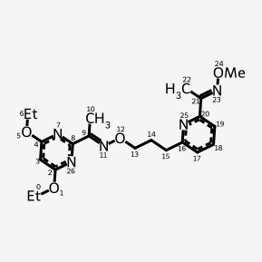 CCOc1cc(OCC)nc(/C(C)=N/OCCCc2cccc(/C(C)=N/OC)n2)n1